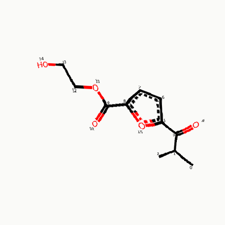 CC(C)C(=O)c1ccc(C(=O)OCCO)o1